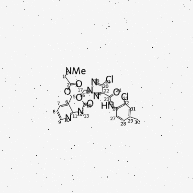 CNCC(=O)OCc1cccnc1N(C)C(=O)OCn1nc(Cl)c(C(=O)Nc2ccc(C)cc2Cl)n1